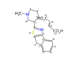 CN1CCCC(c2nc3c(s2)Cc2ccccc2-3)C1.O=C(O)/C=C/C(=O)O